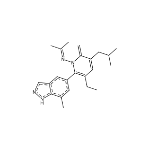 C=C1C(CC(C)C)=CC(CC)=C(c2cc(C)c3[nH]ncc3c2)N1N=C(C)C